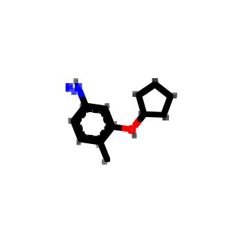 Cc1ccc(N)cc1OC1CCCC1